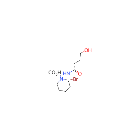 O=C(CCCO)NC1(Br)CCCCN1C(=O)O